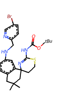 CC1(C)Cc2ccc(NCc3ccc(Br)cn3)cc2C2(CCSC(NC(=O)OC(C)(C)C)=N2)C1